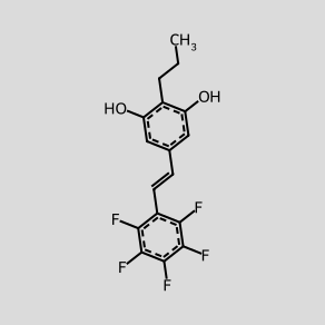 CCCc1c(O)cc(/C=C/c2c(F)c(F)c(F)c(F)c2F)cc1O